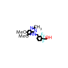 COc1cc2nc(C)nc(NCc3cccc(C(F)(F)CO)c3F)c2cc1OC